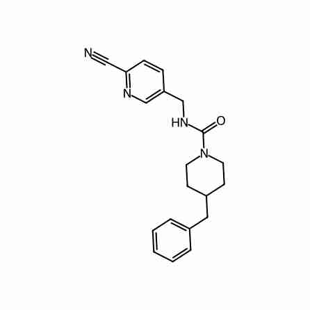 N#Cc1ccc(CNC(=O)N2CCC(Cc3ccccc3)CC2)cn1